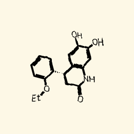 CCOc1ccccc1[C@H]1CC(=O)Nc2cc(O)c(O)cc21